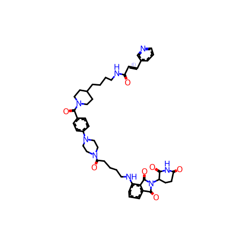 O=C(/C=C/c1cccnc1)NCCCCC1CCN(C(=O)c2ccc(N3CCN(C(=O)CCCCNc4cccc5c4C(=O)N(C4CCC(=O)NC4=O)C5=O)CC3)cc2)CC1